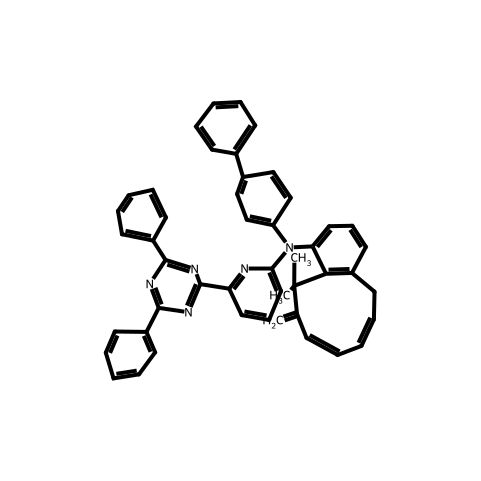 C=C1/C=C\C=C/Cc2cccc(N(c3ccc(-c4ccccc4)cc3)c3cccc(-c4nc(-c5ccccc5)nc(-c5ccccc5)n4)n3)c2C1(C)C